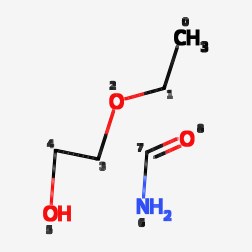 CCOCCO.NC=O